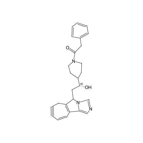 O=C(Cc1ccccc1)N1CCC([C@H](O)CC2C3=C(C=CC#CC3)c3cncn32)CC1